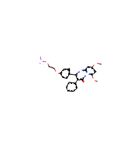 COc1cc(OC)n2c(=O)c(-c3ccccc3)c(-c3ccc(OCCO[N+](=O)[O-])cc3)nc2c1